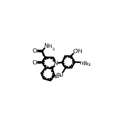 CCCCc1cc(CCCC)c(-n2cc(C(N)=O)c(=O)c3ccccc32)cc1O